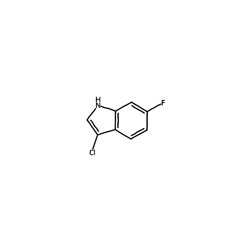 Fc1ccc2c(Cl)c[nH]c2c1